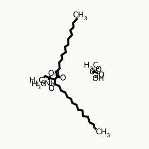 CCCCCCCCCCCCCCCC(=O)C(C(=O)CCCCCCCCCCCCCCC)C(O)(CC)NC.COS(=O)(=O)O